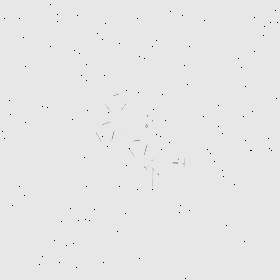 N#Cc1cc(S(=O)(=O)NC2C=NSC2)ccc1Oc1ccccc1-c1ccccc1